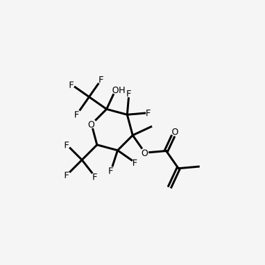 C=C(C)C(=O)OC1(C)C(F)(F)C(C(F)(F)F)OC(O)(C(F)(F)F)C1(F)F